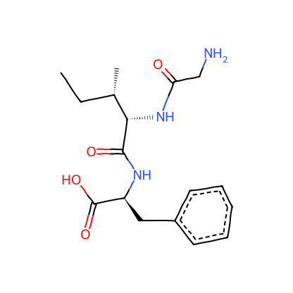 CC[C@H](C)[C@H](NC(=O)CN)C(=O)N[C@@H](Cc1ccccc1)C(=O)O